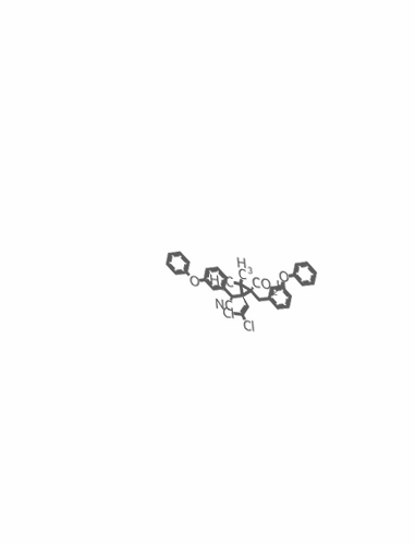 CC1(C)[C@@](Cc2cccc(Oc3ccccc3)c2)(C(=O)O)[C@]1(C=C(Cl)Cl)[C@@H](C#N)c1cccc(Oc2ccccc2)c1